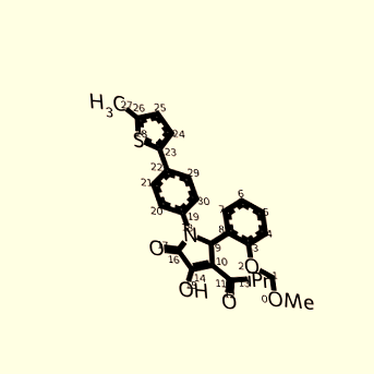 COCOc1ccccc1C1C(C(=O)C(C)C)=C(O)C(=O)N1c1ccc(-c2ccc(C)s2)cc1